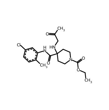 CCOC(=O)N1CCC(NCC(C)=O)(C(=O)Nc2cc(Cl)ccc2C)CC1